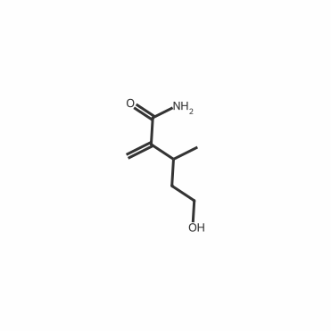 C=C(C(N)=O)C(C)CCO